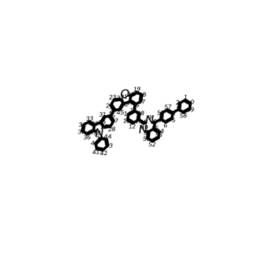 c1ccc(-c2ccc(-c3nc(-c4cccc(-c5cccc6oc7ccc(-c8ccc9c(c8)c8ccccc8n9-c8ccccc8)cc7c56)c4)nc4ccccc34)cc2)cc1